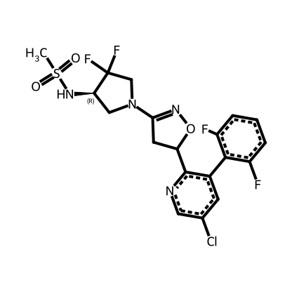 CS(=O)(=O)N[C@@H]1CN(C2=NOC(c3ncc(Cl)cc3-c3c(F)cccc3F)C2)CC1(F)F